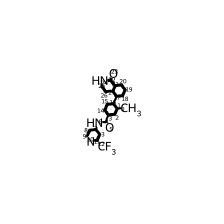 Cc1cc(C(=O)Nc2ccnc(C(F)(F)F)c2)ccc1-c1cccc2c(=O)[nH]ccc12